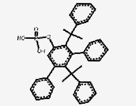 CC(C)(c1ccccc1)c1c(OP(=O)(O)O)cc(-c2ccccc2)c(C(C)(C)c2ccccc2)c1-c1ccccc1